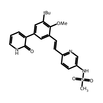 COc1c(C=Cc2ccc(NS(C)(=O)=O)cn2)cc(-c2ccc[nH]c2=O)cc1C(C)(C)C